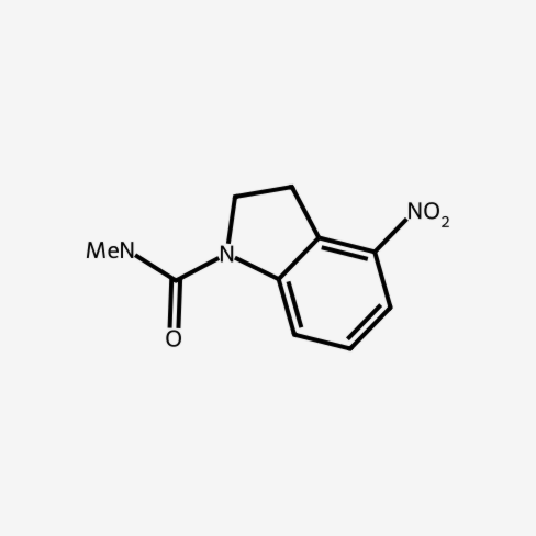 CNC(=O)N1CCc2c1cccc2[N+](=O)[O-]